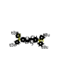 CC(C)(C)c1ccc([SH](c2ccc(C(C)(C)C)cc2)c2ccc(C(C)(C)CCC(C)(C)c3ccc([SH](c4ccc(C(C)(C)C)cc4)c4ccc(C(C)(C)C)cc4)cc3)cc2)cc1